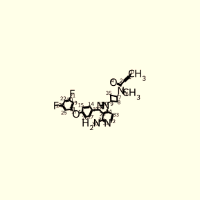 CC#CC(=O)N(C)[C@H]1C[C@@H](n2nc(-c3ccc(Oc4cc(F)cc(F)c4)cc3)c3c(N)nccc32)C1